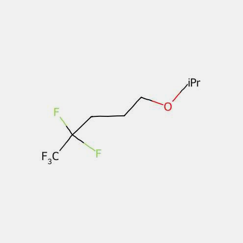 CC(C)OCCCC(F)(F)C(F)(F)F